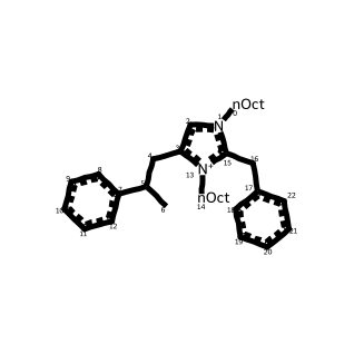 CCCCCCCCn1cc(CC(C)c2ccccc2)[n+](CCCCCCCC)c1Cc1ccccc1